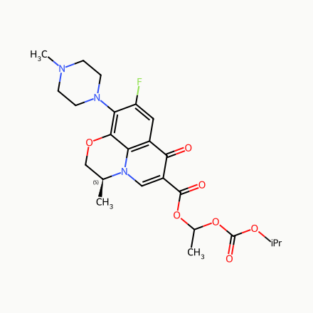 CC(C)OC(=O)OC(C)OC(=O)c1cn2c3c(c(N4CCN(C)CC4)c(F)cc3c1=O)OC[C@@H]2C